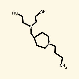 NCCCN1CCC(CN(CCO)CCO)CC1